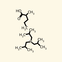 CC(C)CN(CC(C)C)CC(C)C.CCCC(C)C(=O)O